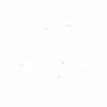 C1OC2CC12.COc1ccc(C2=NC3CCCCC3c3cc(OC)c(OC)cc32)cc1